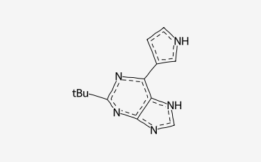 CC(C)(C)c1nc(-c2cc[nH]c2)c2[nH]cnc2n1